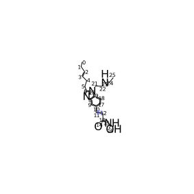 CCC=CCCc1nc2cc(/C=C/C(=O)NO)ccc2n1CCNCC